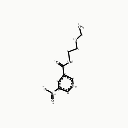 CCOCCNC(=O)c1cncc([N+](=O)[O-])c1